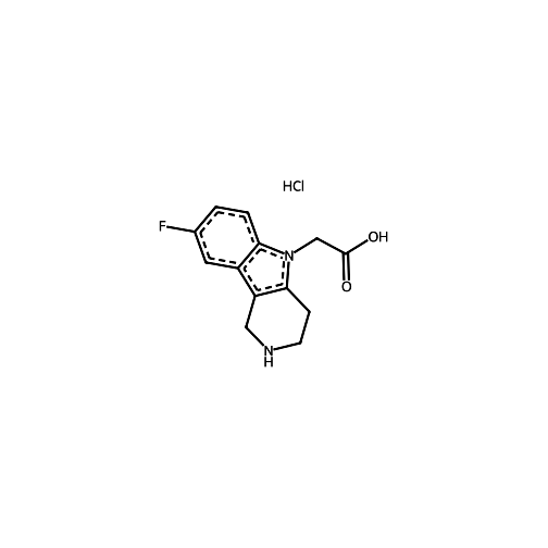 Cl.O=C(O)Cn1c2c(c3cc(F)ccc31)CNCC2